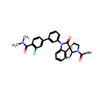 CC(C)C1N(C(=O)C(C)(C)C)CC[C@@]12C(=O)N(c1cccc(-c3ccc(C(=O)N(C)C)c(Cl)c3)c1)c1ccccc12